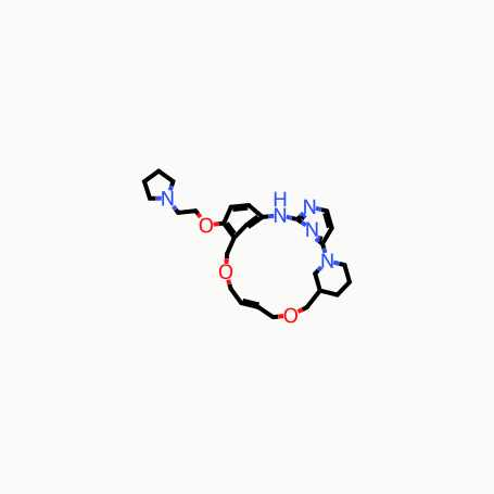 C1=C/COCC2CCCN(C2)c2ccnc(n2)Nc2ccc(OCCN3CCCC3)c(c2)COC/1